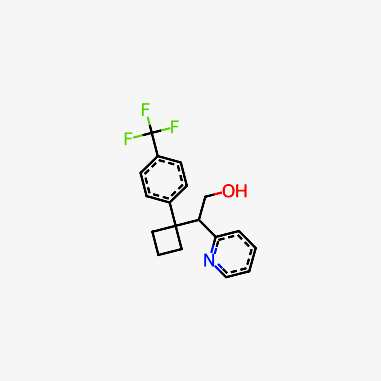 OCC(c1ccccn1)C1(c2ccc(C(F)(F)F)cc2)CCC1